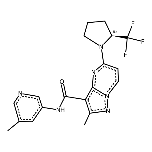 Cc1cncc(NC(=O)c2c(C)nn3ccc(N4CCC[C@H]4C(F)(F)F)nc23)c1